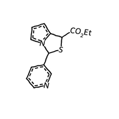 CCOC(=O)C1SC(c2cccnc2)n2cccc21